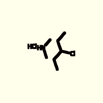 CCC(Cl)CC.CNC.Cl